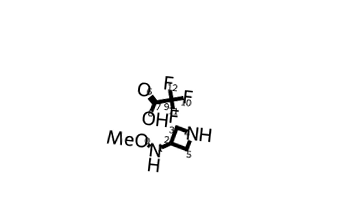 CONC1CNC1.O=C(O)C(F)(F)F